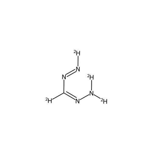 [2H]N=NC([2H])=NN([2H])[2H]